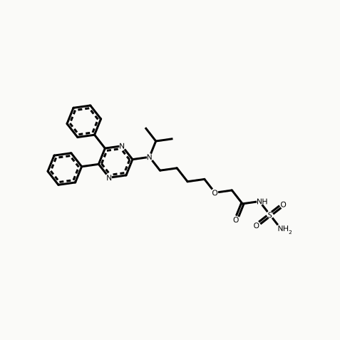 CC(C)N(CCCCOCC(=O)NS(N)(=O)=O)c1cnc(-c2ccccc2)c(-c2ccccc2)n1